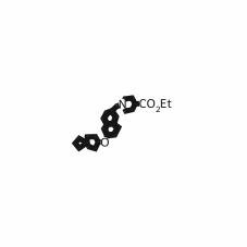 CCOC(=O)C1CCN(Cc2ccc3cc(OC4CCC5(CCC5)CC4)ccc3c2)CC1